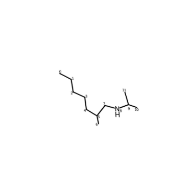 CCCCCC(C)CNC(C)C